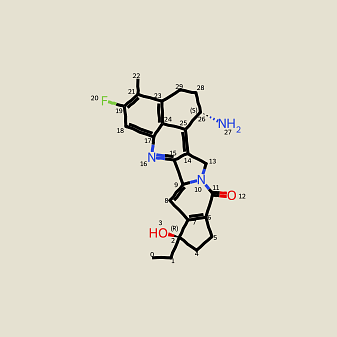 CC[C@@]1(O)CCc2c1cc1n(c2=O)Cc2c-1nc1cc(F)c(C)c3c1c2[C@@H](N)CC3